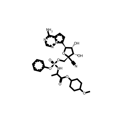 COC1CCC(OC(=O)C(C)NP(=O)(OC[C@@]2(C#N)O[C@@H](c3ccc4c(N)ncnn34)[C@H](O)[C@@H]2O)Oc2ccccc2)CC1